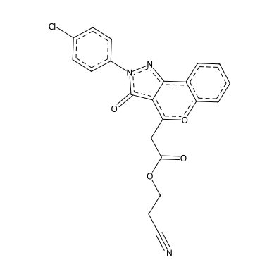 N#CCCOC(=O)Cc1oc2ccccc2c2nn(-c3ccc(Cl)cc3)c(=O)c1-2